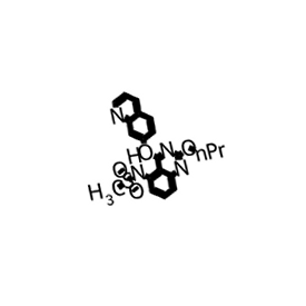 CCCOc1nc(Oc2ccc3cccnc3c2)c2c(NS(C)(=O)=O)cccc2n1